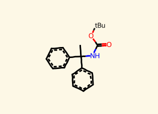 CC(C)(C)OC(=O)NC(C)(c1ccccc1)c1ccccc1